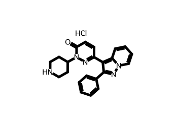 Cl.O=c1ccc(-c2c(-c3ccccc3)nn3ccccc23)nn1C1CCNCC1